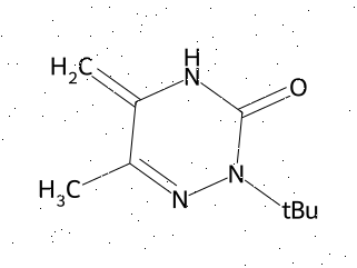 C=C1NC(=O)N(C(C)(C)C)N=C1C